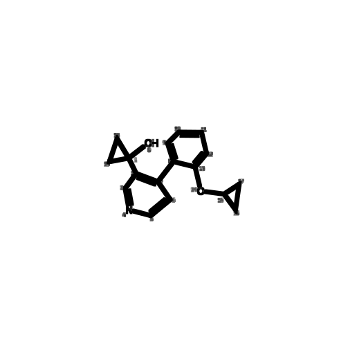 OC1(c2cnccc2-c2ccccc2OC2CC2)CC1